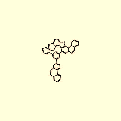 c1ccc(-c2nc(-c3ccc4c(ccc5ccccc54)c3)nc(-c3cc4ccc5ccccc5c4c4sc5ccc6ccccc6c5c34)n2)cc1